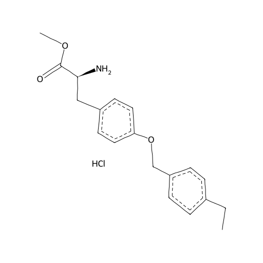 CCc1ccc(COc2ccc(C[C@H](N)C(=O)OC)cc2)cc1.Cl